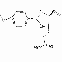 C=C[C@@H]1OC(c2ccc(OC)cc2)O[C@]1(C)CCC(=O)O